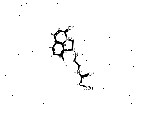 CC(C)(C)OC(=O)NCCN[C@H]1Cn2c(=O)ccc3ccc(F)c1c32